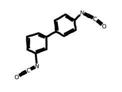 O=C=Nc1ccc(-c2cccc(N=C=O)c2)cc1